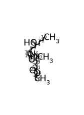 CCCCCC(O)/C=C/C1CCC(=O)N1CC(C)CCCCC(=O)OCC